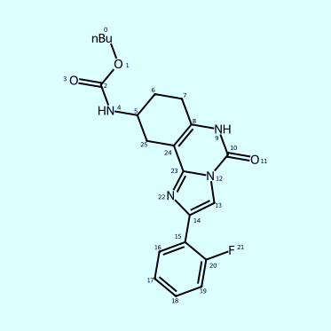 CCCCOC(=O)NC1CCc2[nH]c(=O)n3cc(-c4ccccc4F)nc3c2C1